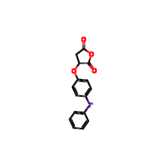 O=C1CC(Oc2ccc([I+]c3ccccc3)cc2)C(=O)O1